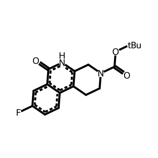 CC(C)(C)OC(=O)N1CCc2c([nH]c(=O)c3cc(F)ccc23)C1